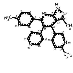 Cc1ccc(-c2nc3[nH]nc(C)c3c(-c3ccc(C)nc3)c2-c2ccncc2)cn1